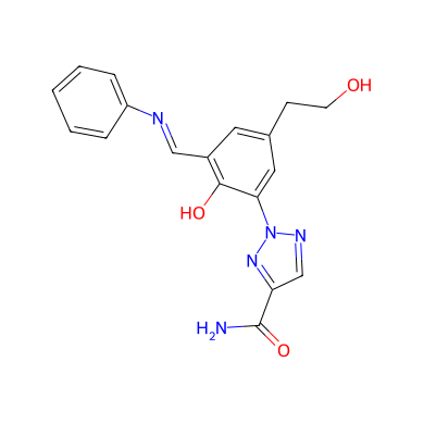 NC(=O)c1cnn(-c2cc(CCO)cc(C=Nc3ccccc3)c2O)n1